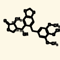 COc1cc(Cc2cc3c(cc2[C@H](O)[C@H]2COC(=O)[C@H]2C)OCO3)cc(OC)c1OC